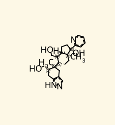 C[C@]1([C@H]2CC[C@@]3(C)[C@@H](CC[C@@]3(O)c3ccccn3)[C@@H]2CO)Cc2cn[nH]c2C[C@@H]1CO